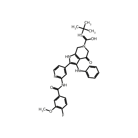 COc1cc(C(=O)Nc2cc(-c3[nH]c4c(c3Nc3ccccc3)C(=O)CN(C(O)=[SH]C(C)(C)C)C4)ccn2)ccc1F